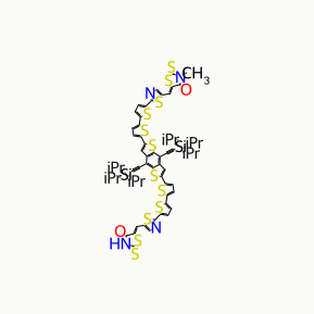 CC(C)[Si](C#Cc1c2cc(-c3ccc(-c4ccc(-c5ncc(/C=C6\SC(=S)N(C)C6=O)s5)s4)s3)sc2c(C#C[Si](C(C)C)(C(C)C)C(C)C)c2cc(-c3ccc(-c4ccc(-c5ncc(/C=C6\SC(=S)NC6=O)s5)s4)s3)sc12)(C(C)C)C(C)C